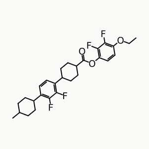 CCOc1ccc(OC(=O)C2CCC(c3ccc(C4CCC(C)CC4)c(F)c3F)CC2)c(F)c1F